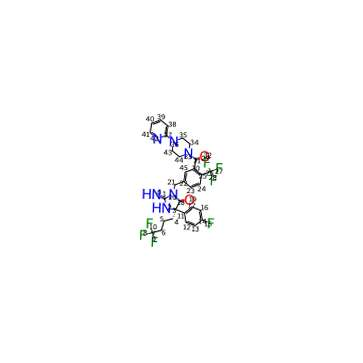 N=C1N[C@](CCCC(F)(F)F)(c2ccc(F)cc2)C(=O)N1Cc1ccc(C(F)(F)F)c(C(=O)N2CCN(c3ccccn3)CC2)c1